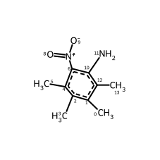 Cc1c(C)c(C)c([N+](=O)[O-])c(N)c1C